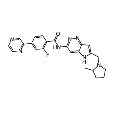 CC1CCCN1Cc1cc2nnc(NC(=O)c3ccc(-c4cnccn4)cc3F)cc2[nH]1